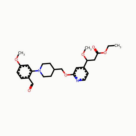 CCOC(=O)CC(OC)c1ccnc(OCC2CCN(c3cc(OC)ccc3C=O)CC2)c1